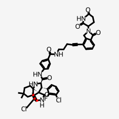 CC1(C)CCC2(CC1)N[C@@H](C(=O)Nc1ccc(C(=O)NCCCC#Cc3cccc4c3CN(C3CCC(=O)NC3=O)C4=O)cc1)[C@H](c1cccc(Cl)c1F)[C@]21C(=O)Nc2cc(Cl)ccc21